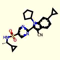 C[C@H](NS(=O)(=O)c1cnc(-c2c(C#N)c3ccc(C4CC4)cc3n2C2CCCC2)nc1)C1CC1